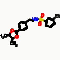 C=C1OB(c2ccc(CCNS(=O)(=O)c3cccc(C#N)c3)cc2)OC1=C